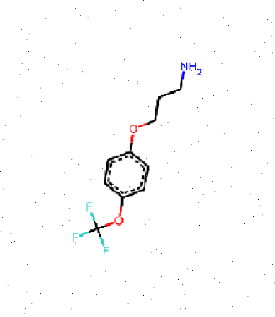 NCCCOc1ccc(OC(F)(F)F)cc1